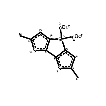 CCCCCCCC[Si]1(CCCCCCCC)c2cc(C)sc2-c2sc(C)cc21